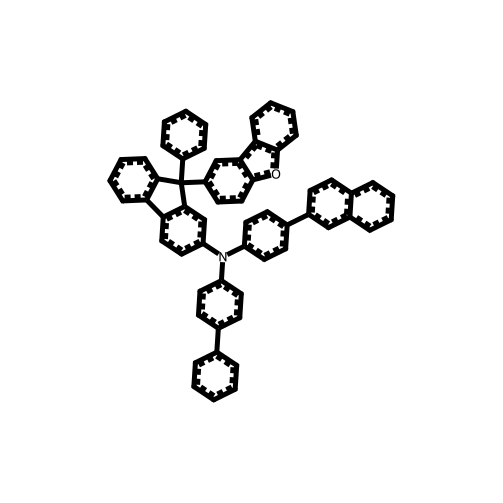 c1ccc(-c2ccc(N(c3ccc(-c4ccc5ccccc5c4)cc3)c3ccc4c(c3)C(c3ccccc3)(c3ccc5oc6ccccc6c5c3)c3ccccc3-4)cc2)cc1